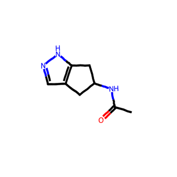 CC(=O)NC1Cc2cn[nH]c2C1